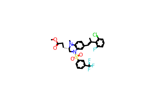 COC(=O)CC[C@H]1CN(S(=O)(=O)c2cccc(C(F)(F)F)c2)c2cc(/C=C(\C)c3c(F)cccc3Cl)ccc2N1C